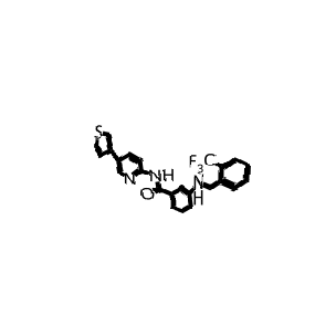 O=C(Nc1ccc(-c2ccsc2)cn1)c1cccc(NCc2ccccc2C(F)(F)F)c1